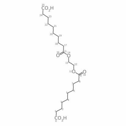 O=C(O)CCCCCCCCC(=O)OCCOC(=O)CCCCCCCCC(=O)O